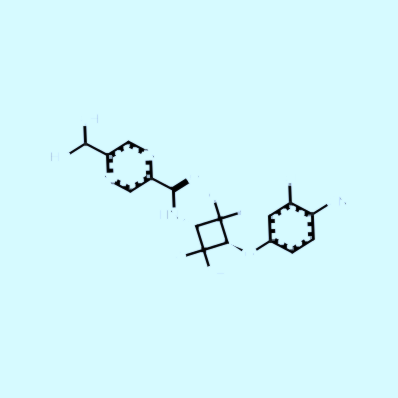 CC(S)c1cnc(C(=O)N[C@H]2C(C)(C)[C@H](Oc3ccc(C#N)c(Cl)c3)C2(C)C)cn1